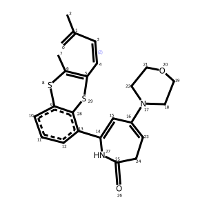 C=C(C)/C=C\C1=C(C)Sc2cccc(C3=CC(N4CCOCC4)=CCC(=O)N3)c2S1